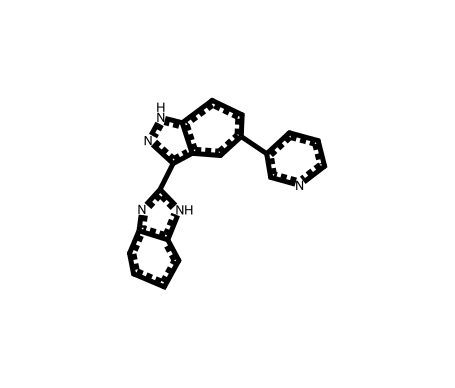 c1cncc(-c2ccc3[nH]nc(-c4nc5ccccc5[nH]4)c3c2)c1